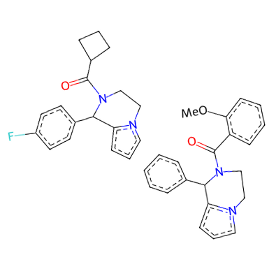 COc1ccccc1C(=O)N1CCn2cccc2C1c1ccccc1.O=C(C1CCC1)N1CCn2cccc2C1c1ccc(F)cc1